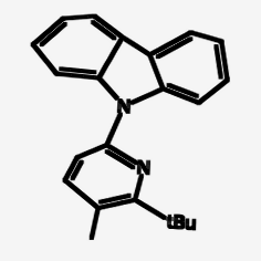 Cc1ccc(-n2c3ccccc3c3ccccc32)nc1C(C)(C)C